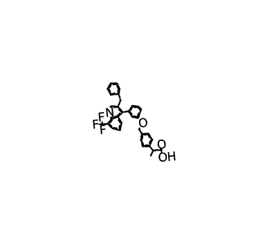 CC(C(=O)O)c1ccc(COc2cccc(-c3c(Cc4ccccc4)cnc4c(C(F)(F)F)cccc34)c2)cc1